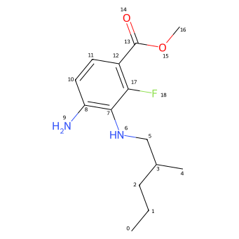 CCCC(C)CNc1c(N)ccc(C(=O)OC)c1F